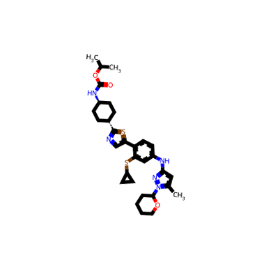 Cc1cc(Nc2ccc(-c3cnc([C@H]4CC[C@H](NC(=O)OC(C)C)CC4)s3)c(SC3CC3)c2)nn1C1CCCCO1